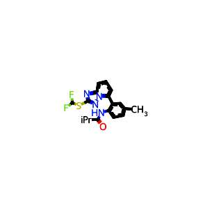 Cc1ccc(NC(=O)C(C)C)c(-c2cccc3nc(SC(F)F)nn23)c1